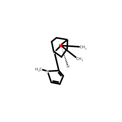 C[C@H]1N(C)C2CCC(CC2)N1c1cccn1C